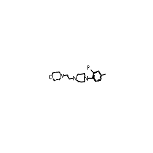 Cc1ccc(N2CCN(CCN3CCOCC3)CC2)c(F)c1